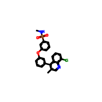 CNS(=O)(=O)c1cccc(Oc2cccc(-c3c(C)cnc4c(Cl)cccc34)c2)c1